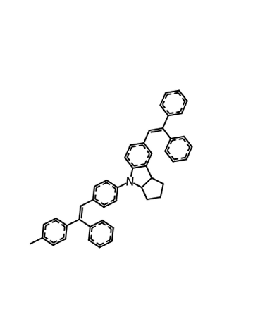 Cc1ccc(/C(=C/c2ccc(N3c4ccc(C=C(c5ccccc5)c5ccccc5)cc4C4CCCC43)cc2)c2ccccc2)cc1